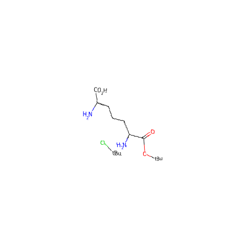 CC(C)(C)Cl.CC(C)(C)OC(=O)C(N)CCCC(N)C(=O)O